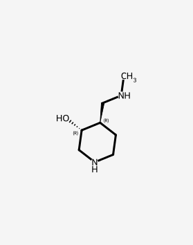 CNC[C@H]1CCNC[C@@H]1O